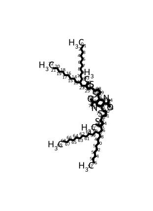 CCCCCCCCCCCCC(CCCCCCCCCC)Cc1cc(-c2ccc(-c3c4ncc(=O)c4c(-c4ccc(-c5cc(CC(CCCCCCCCCC)CCCCCCCCCCCC)c(C)s5)s4)c4ncc(=O)c34)s2)sc1C